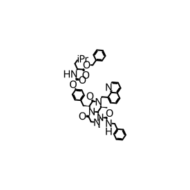 CC(C)CC(NC(=O)Oc1ccc(C[C@H]2C(=O)N(Cc3cccc4cccnc34)[C@@H](C)C3N2C(=O)CN(C)N3C(=O)NCc2ccccc2)cc1)C(=O)OCc1ccccc1